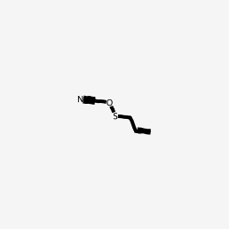 C=CCSOC#N